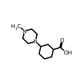 CN1CCN(C2CCCC(C(=O)O)C2)CC1